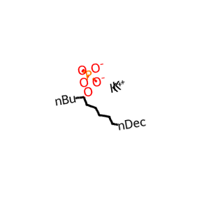 CCCCCCCCCCCCCCCC(CCCC)OOP(=O)([O-])[O-].[K+].[K+]